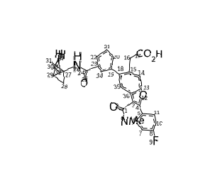 CNC(=O)c1c(-c2ccc(F)cc2)oc2cc(CC(=O)O)c(-c3cccc(C(=O)NC45CC([C@@H]4C)[C@@H]5C)c3)cc12